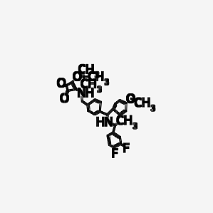 COc1ccc(C(NC(C)c2ccc(F)c(F)c2)c2ccc(CNc3c(OC(C)(C)C)c(=O)c3=O)cc2)cc1